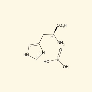 N[C@@H](Cc1c[nH]cn1)C(=O)O.O=S(O)O